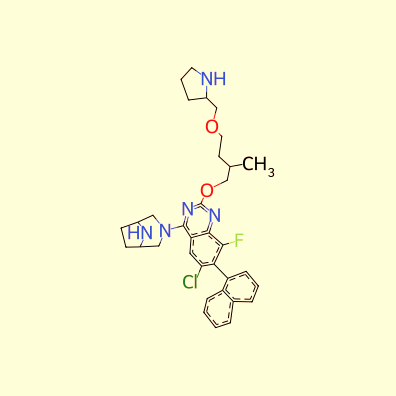 CC(CCOCC1CCCN1)COc1nc(N2CC3CCC(C2)N3)c2cc(Cl)c(-c3cccc4ccccc34)c(F)c2n1